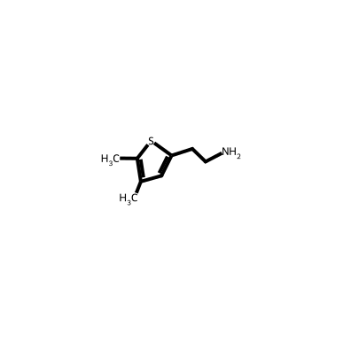 Cc1cc(CCN)sc1C